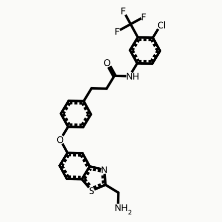 NCc1nc2cc(Oc3ccc(CCC(=O)Nc4ccc(Cl)c(C(F)(F)F)c4)cc3)ccc2s1